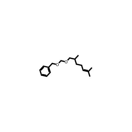 CC(C)=CCCC(C)COCOCc1ccccc1